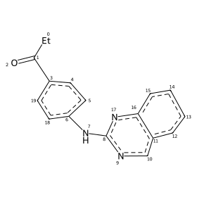 CCC(=O)c1ccc(Nc2ncc3ccccc3n2)cc1